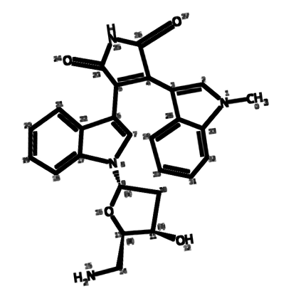 Cn1cc(C2=C(c3cn([C@@H]4C[C@@H](O)[C@@H](CN)O4)c4ccccc34)C(=O)NC2=O)c2ccccc21